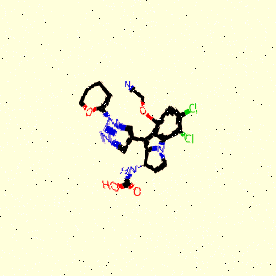 N#CCOc1cc(Cl)c(Cl)c2c1c(-c1cnn(C3CCCCO3)c1)c1n2CC[C@@H]1NC(=O)O